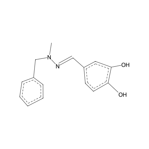 CN(Cc1ccccc1)N=Cc1ccc(O)c(O)c1